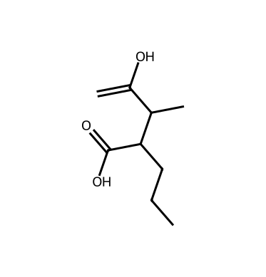 C=C(O)C(C)C(CCC)C(=O)O